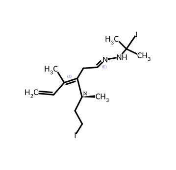 C=C/C(C)=C(/C/C=N/NC(C)(C)I)[C@@H](C)CCI